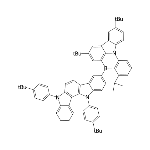 CC(C)(C)c1ccc(-n2c3ccccc3c3c2ccc2c4cc5c(cc4n(-c4ccc(C(C)(C)C)cc4)c23)C(C)(C)c2cccc3c2B5c2cc(C(C)(C)C)cc4c5cc(C(C)(C)C)ccc5n-3c24)cc1